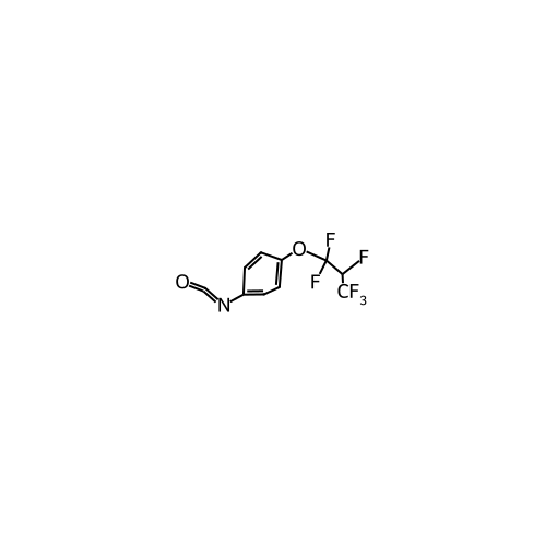 O=C=Nc1ccc(OC(F)(F)C(F)C(F)(F)F)cc1